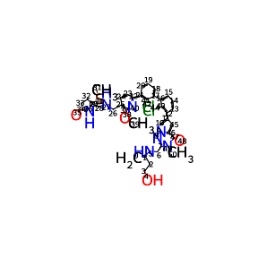 C=C(CCO)NCc1nn2cc(-c3cccc(-c4cccc(-c5ccc(CNC[C@]6(SC)CCC(=O)N6)c(OC)n5)c4Cl)c3Cl)cc2c(=O)n1C